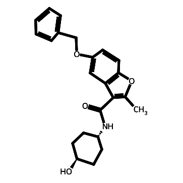 Cc1oc2ccc(OCc3ccccc3)cc2c1C(=O)N[C@H]1CC[C@H](O)CC1